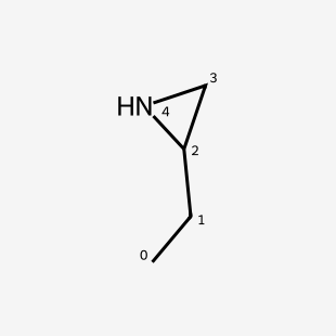 CCC1CN1